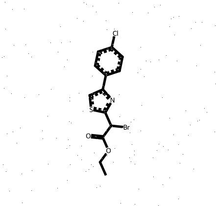 CCOC(=O)C(Br)c1nc(-c2ccc(Cl)cc2)cs1